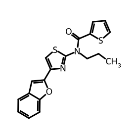 CCCN(C(=O)c1cccs1)c1nc(-c2cc3ccccc3o2)cs1